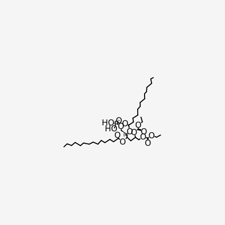 CCCCCCCCCCCCCC(=O)OC(CC(COC(=O)OCC)OC(=O)OCC)[C@@H](COP(=O)(O)O)OC(=O)CCCCCCCCCCCCC